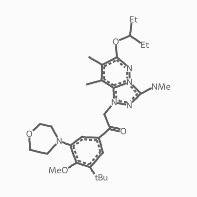 CCC(CC)Oc1nn2c(NC)n[n+](CC(=O)c3cc(N4CCOCC4)c(OC)c(C(C)(C)C)c3)c2c(C)c1C